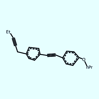 CCC#CCc1ccc(C#Cc2ccc(OCCC)cc2)cc1